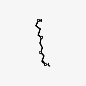 C=CCOCCOCCCO